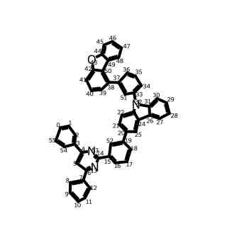 c1ccc(-c2cc(-c3ccccc3)nc(-c3cccc(-c4ccc5c(c4)c4ccccc4n5-c4cccc(-c5cccc6oc7ccccc7c56)c4)c3)n2)cc1